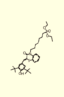 CCOP(=O)(CCCCCCCN1C(=O)C(=Cc2cc(C(C)(C)C)c(O)c(C(C)(C)C)c2)Sc2ccccc21)OCC